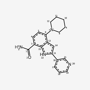 NC(=O)c1ccc(N2CCCCC2)c2cc(-c3cccnc3)[nH]c12